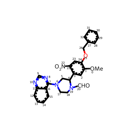 COc1cc(C2CN(c3ncnc4ccccc34)CCN2C=O)c([N+](=O)[O-])cc1OCc1ccccc1